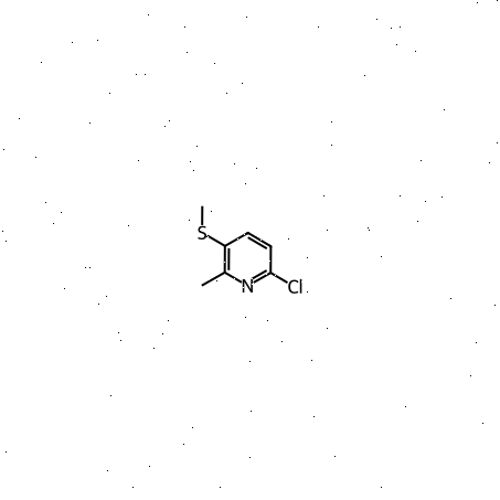 CSc1ccc(Cl)nc1C